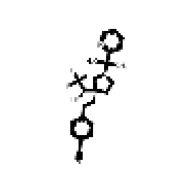 CC(C)(c1ccccn1)N1CC[C@](CCc2ccc(C#N)cc2)([C@@H](O)C(F)(F)F)C1